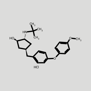 COc1ccc(Oc2ccc(C[C@H]3C[C@@H](O)[C@H](NC(C)(C)C)C3)cc2)cc1.Cl